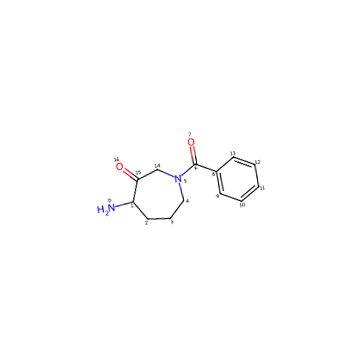 NC1CCCN(C(=O)c2ccccc2)CC1=O